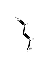 O=PC=NO